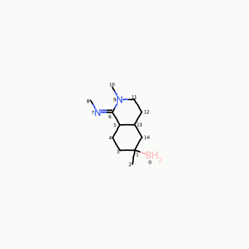 BC1(C)CCC2/C(=N/C)N(C)CCC2C1